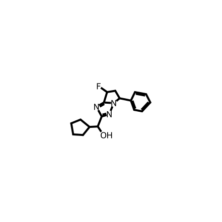 OC(c1nc2n(n1)C(c1ccccc1)CC2F)C1CCCC1